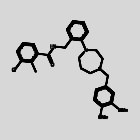 COc1ccc(CN2CCCN(c3ccccc3CNC(=O)c3cccc(Cl)c3C)CC2)cc1OC